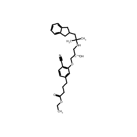 CCOC(=O)CCCc1ccc(C#N)c(OC[C@@H](O)CNC(C)(C)CC2Cc3ccccc3C2)c1